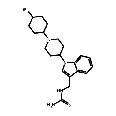 CC(C)C1CCC(N2CCC(n3cc(CNC(N)=S)c4ccccc43)CC2)CC1